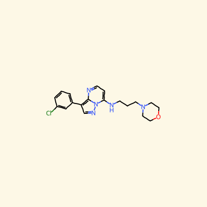 Clc1cccc(-c2cnn3c(NCCCN4CCOCC4)ccnc23)c1